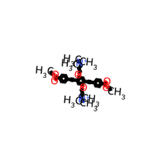 CCOC(=O)c1ccc(C#Cc2cc(OCCC[N+](C)(C)C)c(C#Cc3ccc(C(=O)OCC)cc3)cc2OCCC[N+](C)(C)C)cc1